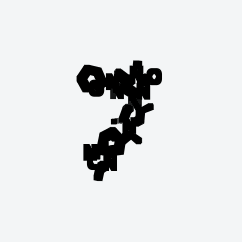 Cc1cnc2ccc([C@H](C)N3C[C@H](C)N(c4nc(=O)n(C)c5cn(C6CCCCO6)nc45)C[C@H]3C)cc2n1